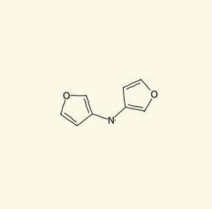 c1cc([N]c2ccoc2)co1